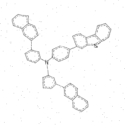 c1cc(-c2ccc3ccccc3c2)cc(N(c2ccc(-c3ccc4c(c3)sc3ccccc34)cc2)c2cccc(-c3ccc4ccccc4c3)c2)c1